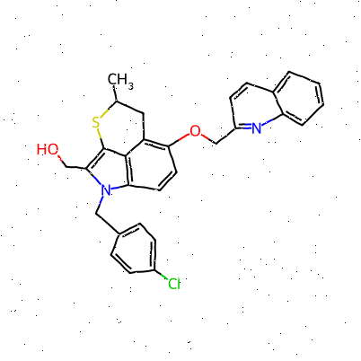 CC1Cc2c(OCc3ccc4ccccc4n3)ccc3c2c(c(CO)n3Cc2ccc(Cl)cc2)S1